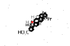 CC(=O)[C@]12CC[C@@H](C(C)C)[C@@H]1[C@H]1CC[C@@H]3[C@@]4(C)CC=C(c5ccc(C(=O)O)cc5)C(C)(C)[C@@H]4CC[C@@]3(C)[C@]1(C)CC2